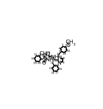 COc1ccc(Cn2ccnc2[C@H](Cc2ccccc2)NC(=O)NS(=O)(=O)c2ccccc2C)cc1